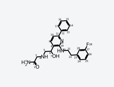 NC(=O)CNCC(O)c1ccc(-c2ccccc2)nc1NCCc1cccc(F)c1